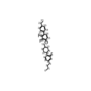 CCCCc1ccc(C2CCC(COc3ccc(-c4ccc(CC)cc4)c(F)c3F)CC2)c(F)c1